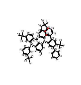 Cc1cc2c3c(c1)N(c1cc(-c4ccccc4)c(C(C)(C)C)cc1-c1ccccc1)c1cc4c(cc1B3c1ccc(C(C)(C)C)cc1N2c1cccc(C(C)(C)C)c1)CC(C)(C)C4